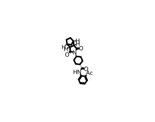 CC(=O)c1ccccc1NC(=O)[C@H]1CC[C@H](N2C(=O)[C@@H]3[C@@H]4CC[C@@H](C4)[C@@H]3C2=O)CC1